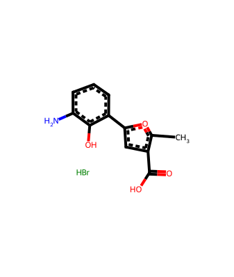 Br.Cc1oc(-c2cccc(N)c2O)cc1C(=O)O